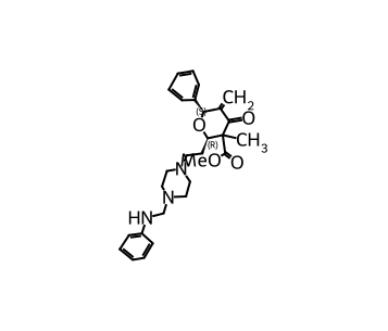 C=C1C(=O)C(C)(C(=O)OC)[C@@H](CCN2CCN(CNc3ccccc3)CC2)O[C@H]1c1ccccc1